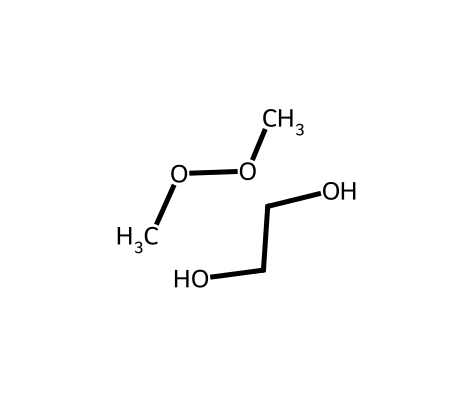 COOC.OCCO